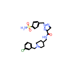 NS(=O)(=O)c1ccc(Cn2ncc(C(=O)NCC3CCN(Cc4cccc(Cl)c4)CC3)n2)cc1